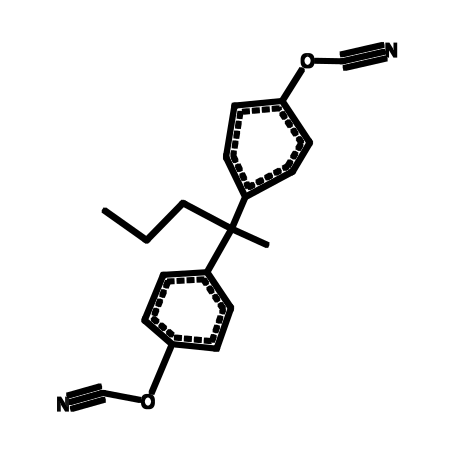 CCCC(C)(c1ccc(OC#N)cc1)c1ccc(OC#N)cc1